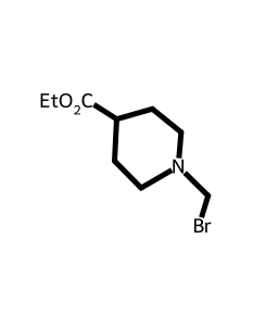 CCOC(=O)C1CCN(CBr)CC1